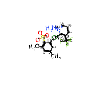 Cc1cc(C)c(S(=O)(=O)[O-])c(C)c1.N[n+]1cccc(C(F)(F)F)c1Cl